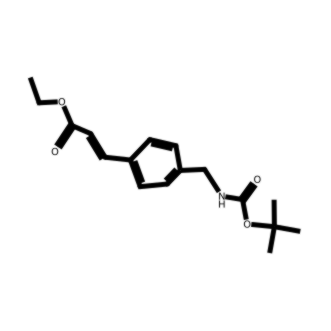 CCOC(=O)/C=C/c1ccc(CNC(=O)OC(C)(C)C)cc1